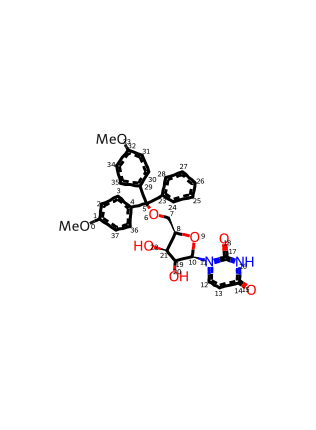 COc1ccc(C(OC[C@H]2O[C@@H](n3ccc(=O)[nH]c3=O)C(O)[C@H]2O)(c2ccccc2)c2ccc(OC)cc2)cc1